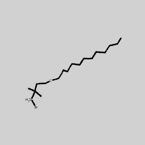 CCCCCCCCCCCCCCCC(C)(C)[SiH2]Br